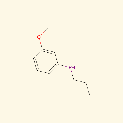 CCCPc1cccc(OC)c1